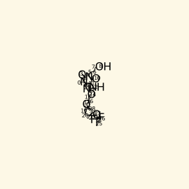 Cn1c(=O)n(CCCO)c(=O)c2[nH]c(OCCOc3cccc(OC(F)(F)F)c3)nc21